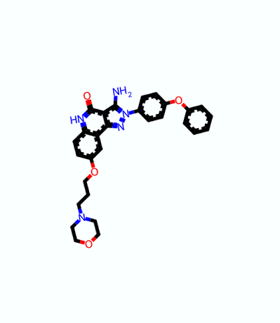 Nc1c2c(=O)[nH]c3ccc(OCCCN4CCOCC4)cc3c2nn1-c1ccc(Oc2ccccc2)cc1